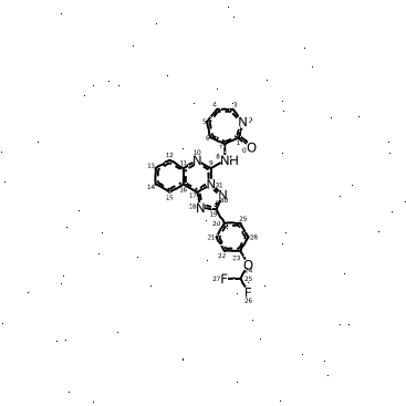 O=c1nccccc1Nc1nc2ccccc2c2nc(-c3ccc(OC(F)F)cc3)nn12